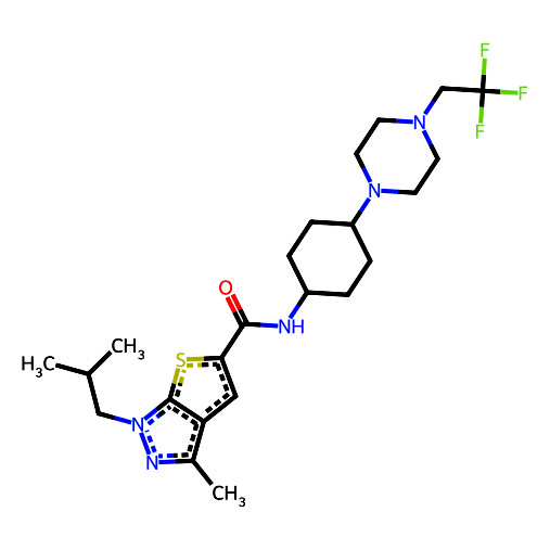 Cc1nn(CC(C)C)c2sc(C(=O)NC3CCC(N4CCN(CC(F)(F)F)CC4)CC3)cc12